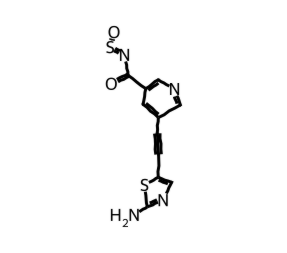 Nc1ncc(C#Cc2cncc(C(=O)N=S=O)c2)s1